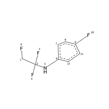 FCC(F)(F)Nc1ccc(F)cc1